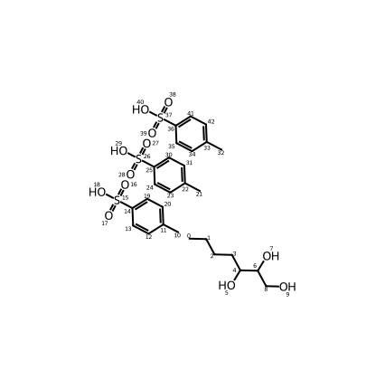 CCCCC(O)C(O)CO.Cc1ccc(S(=O)(=O)O)cc1.Cc1ccc(S(=O)(=O)O)cc1.Cc1ccc(S(=O)(=O)O)cc1